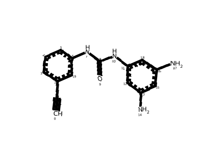 C#Cc1cccc(NC(=O)Nc2cc(N)cc(N)c2)c1